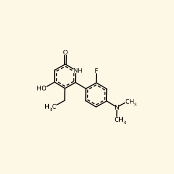 CCc1c(O)cc(=O)[nH]c1-c1ccc(N(C)C)cc1F